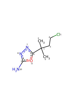 CC(C)(CCCl)c1nnc(N)o1